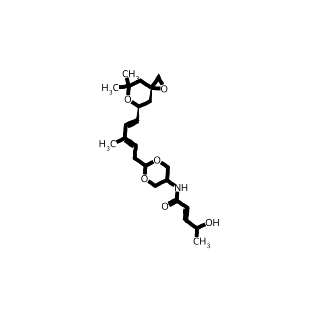 CC(C=C[C@@H]1C[C@]2(CO2)CC(C)(C)O1)=CCC1OCC(NC(=O)C=CC(C)O)CO1